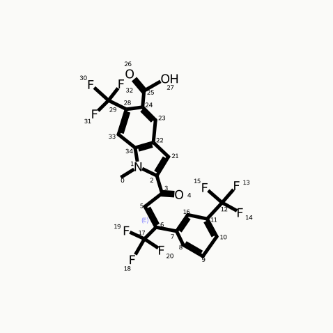 Cn1c(C(=O)/C=C(\c2cccc(C(F)(F)F)c2)C(F)(F)F)cc2cc(C(=O)O)c(C(F)(F)F)cc21